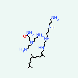 CC(C)=CCCC(C)=CCCC(C)=CCNCCCNCCCCNCCCN.NCCCN(CCCN)CCC(N)=O